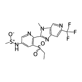 CCS(=O)(=O)c1cc(N[S+](C)[O-])cnc1-c1nc2cc(C(F)(F)F)ncc2n1C